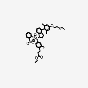 CCOC(=O)CCc1ccc(N(C2CCc3c(-c4c(C)cc(OCCSCC)cc4C)cccc32)S(=O)(=O)c2ccccc2[N+](=O)[O-])cc1F